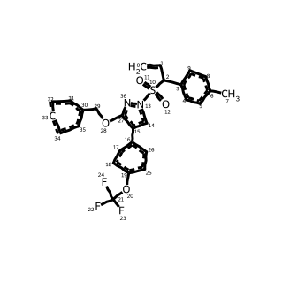 C=CC(c1ccc(C)cc1)S(=O)(=O)n1cc(-c2ccc(OC(F)(F)F)cc2)c(OCc2ccccc2)n1